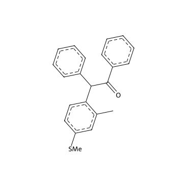 CSc1ccc(C(C(=O)c2ccccc2)c2ccccc2)c(C)c1